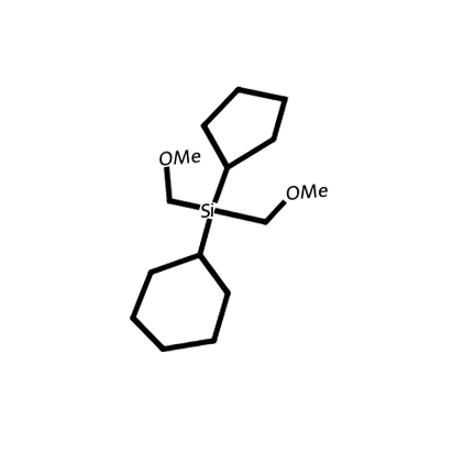 COC[Si](COC)(C1CCCCC1)C1CCCC1